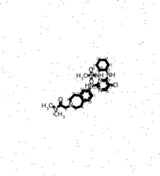 CN(C)C(=O)CN1CCc2ccc(Nc3ncc(Cl)c(N[C@@H]4CCCC[C@H]4NS(C)(=O)=O)n3)cc2CC1